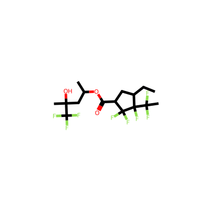 CCC1CC(C(=O)OC(C)CC(C)(O)C(F)(F)F)C(F)(F)C1(F)C(C)(F)F